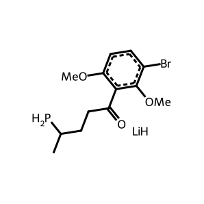 COc1ccc(Br)c(OC)c1C(=O)CCC(C)P.[LiH]